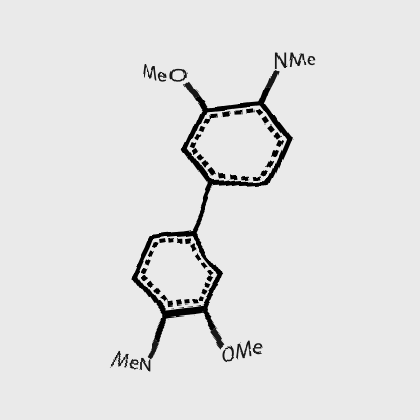 CNc1ccc(-c2ccc(NC)c(OC)c2)cc1OC